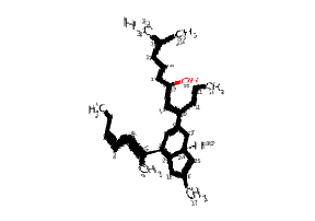 CC/C=C\C=C(/C)[C@H]1C=C(C(CCC)CC(O)CCCC(C)C)C[C@H]2C=C(C)CC21